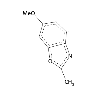 COc1c[c]c2nc(C)oc2c1